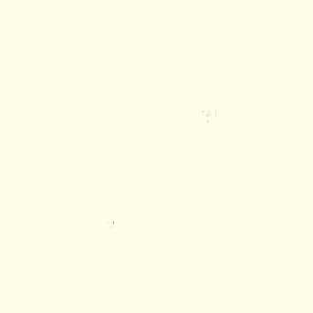 COCOC1CCC(C(N)=O)CC1